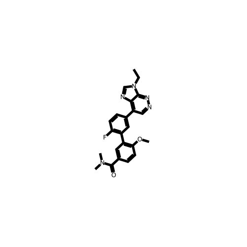 CCn1cnc2c(-c3ccc(F)c(-c4cc(C(=O)N(C)C)ccc4OC)c3)cnnc21